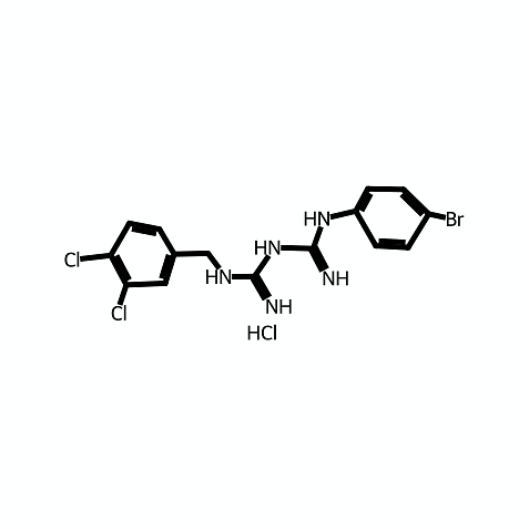 Cl.N=C(NCc1ccc(Cl)c(Cl)c1)NC(=N)Nc1ccc(Br)cc1